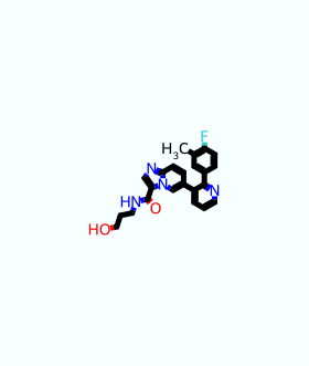 Cc1cc(-c2ncccc2-c2ccc3ncc(C(=O)NCCCO)n3c2)ccc1F